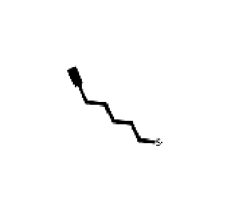 C#CCCCCC[S]